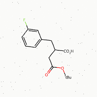 CC(C)(C)OC(=O)CC(Cc1cccc(F)c1)C(=O)O